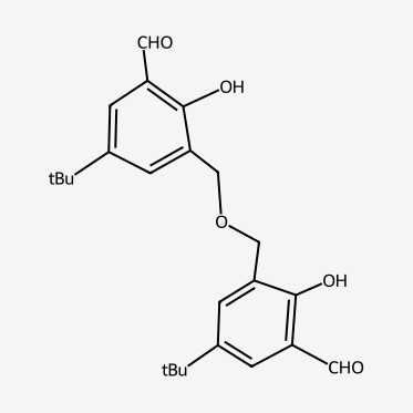 CC(C)(C)c1cc(C=O)c(O)c(COCc2cc(C(C)(C)C)cc(C=O)c2O)c1